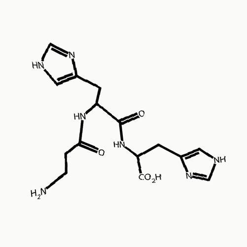 NCCC(=O)NC(Cc1c[nH]cn1)C(=O)NC(Cc1c[nH]cn1)C(=O)O